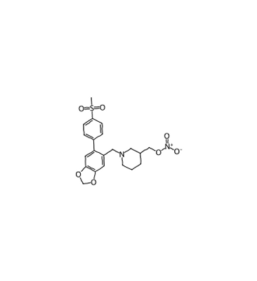 CS(=O)(=O)c1ccc(-c2cc3c(cc2CN2CCCC(CO[N+](=O)[O-])C2)OCO3)cc1